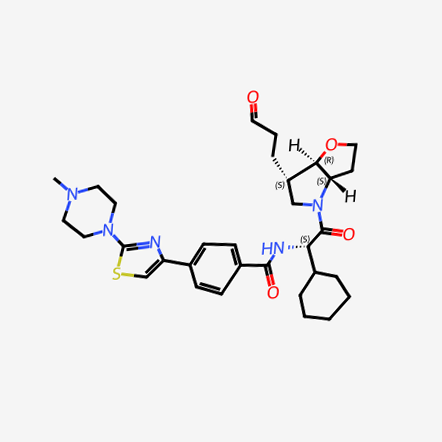 CN1CCN(c2nc(-c3ccc(C(=O)N[C@H](C(=O)N4C[C@H](CCC=O)[C@H]5OCC[C@@H]54)C4CCCCC4)cc3)cs2)CC1